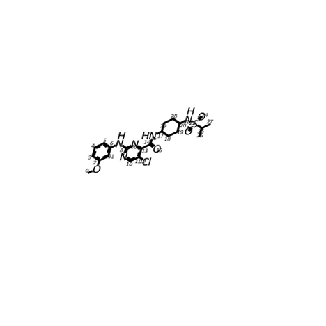 COc1cccc(Nc2ncc(Cl)c(C(=O)NC3CCC(NS(=O)(=O)C(C)C)CC3)n2)c1